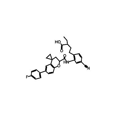 CCC(CCc1ccc(C#N)cc1NC(=O)C1CC2(CC2)c2cc(-c3ccc(F)cc3)ccc2O1)C(=O)O